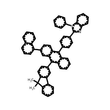 CC1(C)c2ccccc2-c2cc(-c3c4ccccc4c(-c4ccc(-c5nc6ccccc6n5-c5ccccc5)cc4)c4ccc(-c5cccc6ccccc56)cc34)ccc21